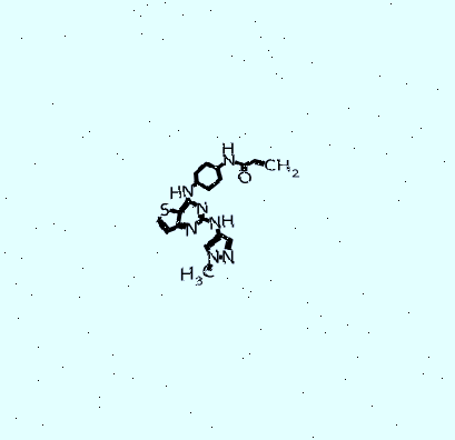 C=CC(=O)NC1CCC(Nc2nc(Nc3cnn(C)c3)nc3ccsc23)CC1